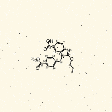 CCCOc1nc2ccc(C(=O)O)cc2n1Cc1ccc(C(=O)OC)cc1